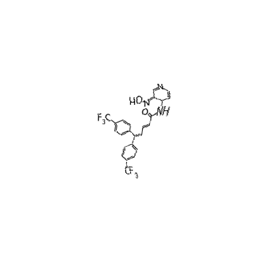 O=C(/C=C/C=C(c1ccc(C(F)(F)F)cc1)c1ccc(C(F)(F)F)cc1)NC1C=CN=CC1=NO